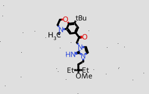 CCC(CC)(CCn1ccn(CC(=O)c2cc3c(c(C(C)(C)C)c2)OCCN3C)c1=N)OC